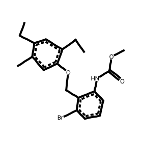 CCc1cc(CC)c(OCc2c(Br)cccc2NC(=O)OC)cc1C